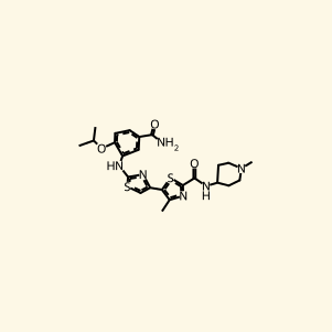 Cc1nc(C(=O)NC2CCN(C)CC2)sc1-c1csc(Nc2cc(C(N)=O)ccc2OC(C)C)n1